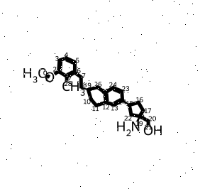 COc1cccc(CC[C@@H]2CCc3cc([C@H]4CC[C@](N)(CO)C4)ccc3C2)c1C